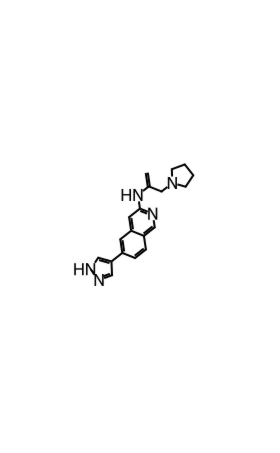 C=C(CN1CCCC1)Nc1cc2cc(-c3cn[nH]c3)ccc2cn1